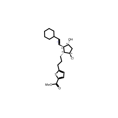 COC(=O)c1ccc(CCC[C@@H]2[C@@H](/C=C/C3CCCCC3)[C@H](O)C[C@H]2Cl)s1